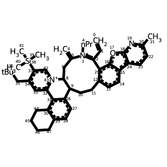 C=C/C1=[N+](\CCC)C(=C)CC2C(CCc3ccc4c(oc5nc(C)ccc54)c31)c1ccc3c(c1-c1cc(CC(C)(C)C)c([Si](C)(C)C)c[n+]12)CCCC3